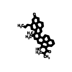 CCCc1cc2c3c(cc4ccc5c(c1=CC(=O)C=5)c42)=c1c(cc2c(O)c(C(=O)C(C)C)c4cccc5ccc1c2c54)=CC3(C)C